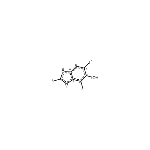 Cc1nc2c(C)c(O)c(I)cc2o1